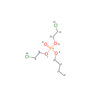 CCCCOP(=O)(OCCCl)OCCCl